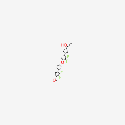 CCCC(O)C1CC=C(C2CC=C(OCC3CCC(c4ccc(C5CO5)c(F)c4F)CC3)C(F)=C2F)CC1